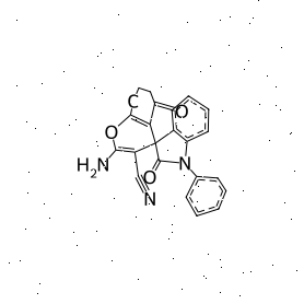 N#CC1=C(N)OC2=C(C(=O)CCC2)C12C(=O)N(c1ccccc1)c1ccccc12